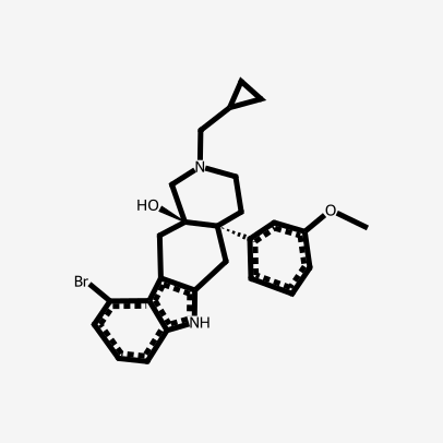 COc1cccc([C@@]23CCN(CC4CC4)C[C@@]2(O)Cc2c([nH]c4cccc(Br)c24)C3)c1